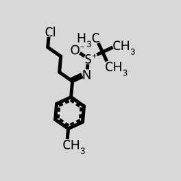 Cc1ccc(/C(CCCCl)=N/[S+]([O-])C(C)(C)C)cc1